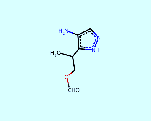 CC(COC=O)c1[nH]ncc1N